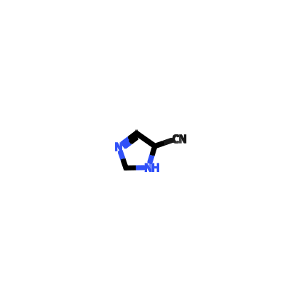 N#CC1[C]=NCN1